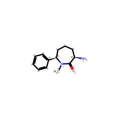 CN1C(=O)[C@H](N)CCC[C@@H]1c1ccccc1